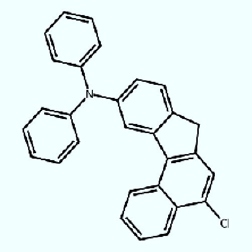 Clc1cc2c(c3ccccc13)-c1cc(N(c3ccccc3)c3ccccc3)ccc1C2